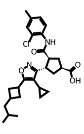 Cc1ccc(NC(=O)[C@H]2C[C@@H](C(=O)O)C[C@@H]2c2noc(C3CC(CC(C)C)C3)c2C2CC2)c(Cl)c1